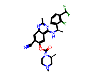 Cc1nc(N[C@H](C)c2cccc(C(F)F)c2F)c2cc(OC(=O)N3CCN(C)C[C@@H]3C)c(C#N)cc2n1